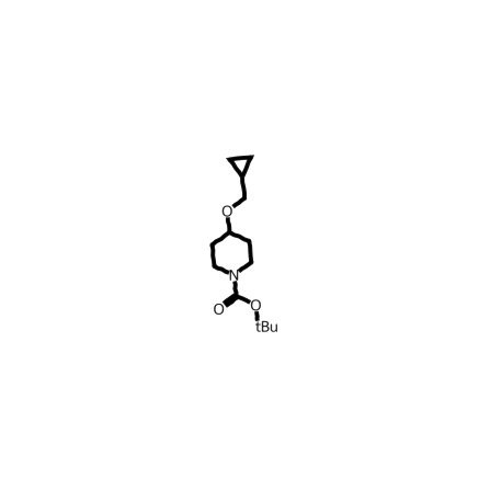 CC(C)(C)OC(=O)N1CCC(OCC2CC2)CC1